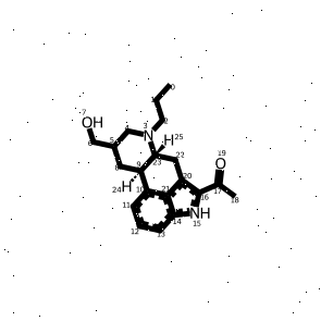 CCCN1CC(CO)C[C@@H]2c3cccc4[nH]c(C(C)=O)c(c34)C[C@H]21